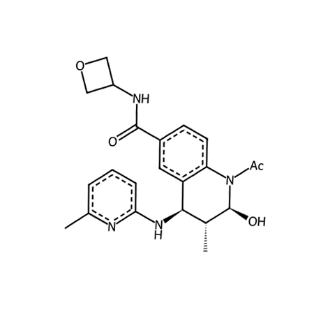 CC(=O)N1c2ccc(C(=O)NC3COC3)cc2[C@H](Nc2cccc(C)n2)[C@@H](C)[C@@H]1O